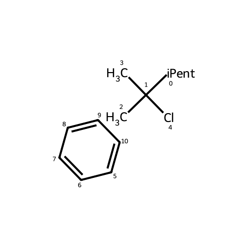 CCCC(C)C(C)(C)Cl.c1ccccc1